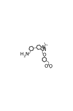 COC(=O)Cc1cccc(OCc2nn(C(C)C)c3ccc(-c4cccc(CN)c4)cc23)c1